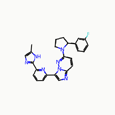 Cc1cnc(-c2cccc(-c3cnc4ccc(N5CCCC5c5cccc(F)c5)nn34)n2)[nH]1